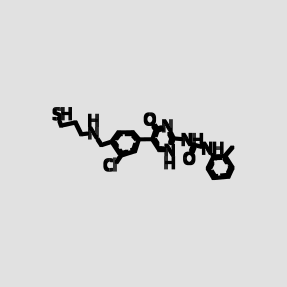 Cc1ccccc1NC(=O)Nc1nc(=O)c(-c2ccc(CNCCCS)c(Cl)c2)c[nH]1